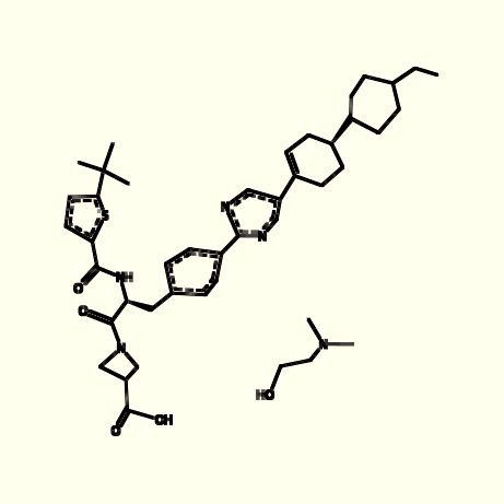 CCC1CCC([C@@H]2CC=C(c3cnc(-c4ccc(C[C@H](NC(=O)c5ccc(C(C)(C)C)s5)C(=O)N5CC(C(=O)O)C5)cc4)nc3)CC2)CC1.CN(C)CCO